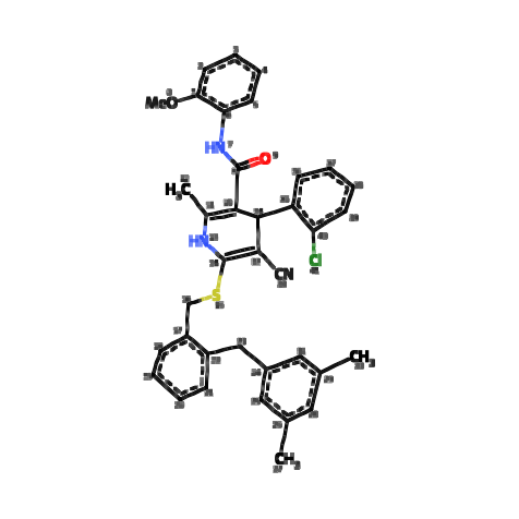 COc1ccccc1NC(=O)C1=C(C)NC(SCc2ccccc2Cc2cc(C)cc(C)c2)=C(C#N)C1c1ccccc1Cl